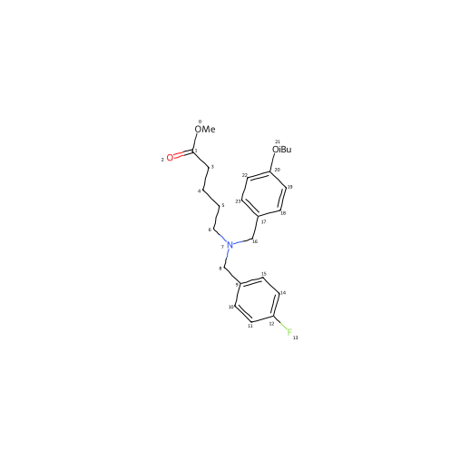 COC(=O)CCCCN(Cc1ccc(F)cc1)Cc1ccc(OCC(C)C)cc1